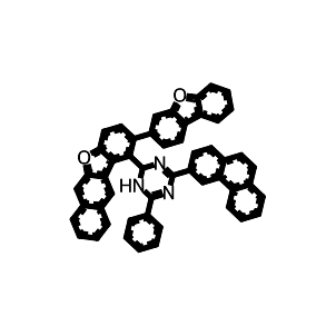 c1ccc(C2=NC(c3ccc4ccc5ccccc5c4c3)=NC(c3c(-c4ccc5c(c4)oc4ccccc45)ccc4oc5cc6ccccc6cc5c34)N2)cc1